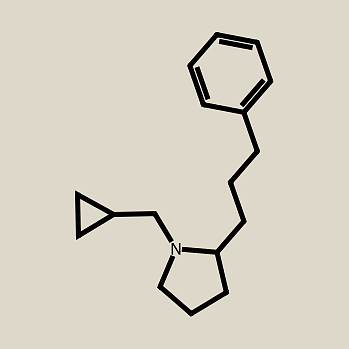 c1ccc(CCCC2CCCN2CC2CC2)cc1